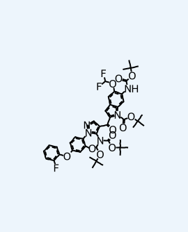 Cc1cc(Oc2ccccc2F)ccc1-n1ncc(C(=O)c2cc3cc(OC(F)F)c(NC(=O)OC(C)(C)C)cc3n2C(=O)OC(C)(C)C)c1N(C(=O)OC(C)(C)C)C(=O)OC(C)(C)C